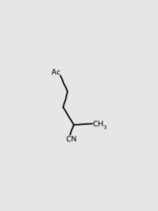 CC(=O)CCC(C)C#N